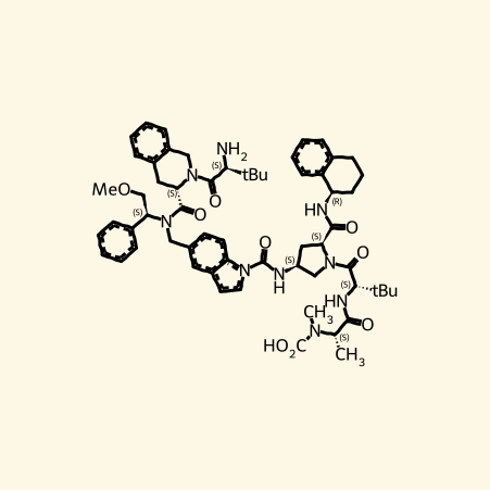 COC[C@H](c1ccccc1)N(Cc1ccc2c(ccn2C(=O)N[C@H]2C[C@@H](C(=O)N[C@@H]3CCCc4ccccc43)N(C(=O)[C@@H](NC(=O)[C@H](C)N(C)C(=O)O)C(C)(C)C)C2)c1)C(=O)[C@@H]1Cc2ccccc2CN1C(=O)[C@@H](N)C(C)(C)C